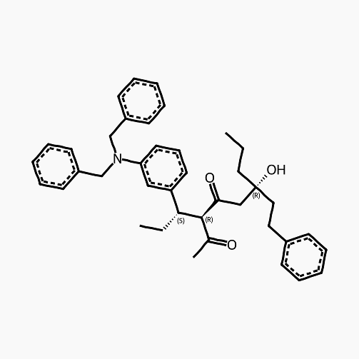 CCC[C@@](O)(CCc1ccccc1)CC(=O)[C@@H](C(C)=O)[C@H](CC)c1cccc(N(Cc2ccccc2)Cc2ccccc2)c1